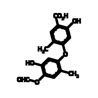 Cc1cc(OC=O)c(O)cc1Oc1cc(O)c(C(=O)O)cc1C